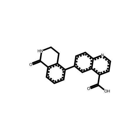 O=C1NCCc2c1cccc2-c1ccc2nccc(C(=O)O)c2c1